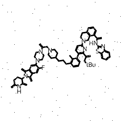 C=C1CCC(n2c(=C)c3cc(F)c(N4CCN(C(=C)CN5CCC(CCCc6cccc(-c7ccc(N8CCc9cccc(C(=C)Nc%10nc%11ccccc%11s%10)c9C8)nc7C(=C)CC(C)(C)C)c6C)CC5)CC4)cc3c2=C)C(=C)N1